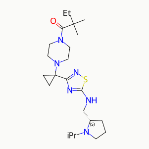 CCC(C)(C)C(=O)N1CCN(C2(c3nsc(NC[C@@H]4CCCN4C(C)C)n3)CC2)CC1